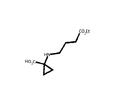 CCOC(=O)CCCNC1(C(=O)O)CC1